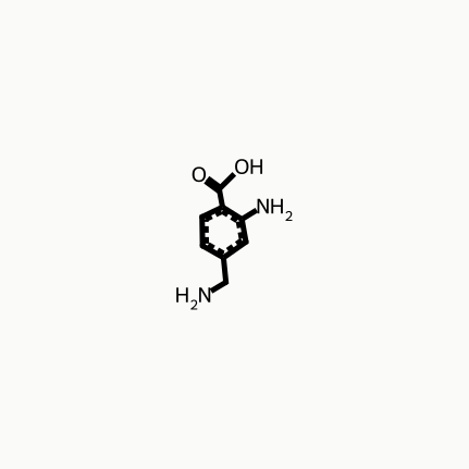 NCc1ccc(C(=O)O)c(N)c1